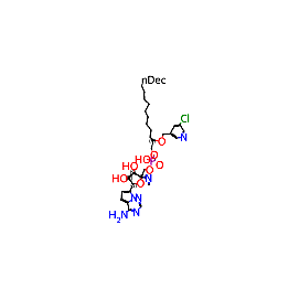 C=N[C@]1(COP(=O)(O)OC[C@@H](CCCCCCCCCCCCCCCCCCC)OCc2cncc(Cl)c2)O[C@@H](c2ccc3c(N)ncnn23)[C@H](O)[C@@H]1O